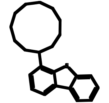 c1ccc2c(c1)sc1c(C3CCCCCCCCCC3)cccc12